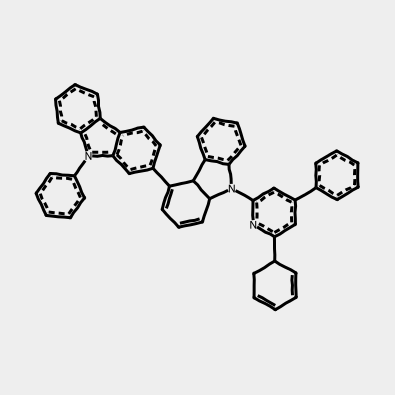 C1=CCC(c2cc(-c3ccccc3)cc(N3c4ccccc4C4C(c5ccc6c7ccccc7n(-c7ccccc7)c6c5)=CC=CC43)n2)C=C1